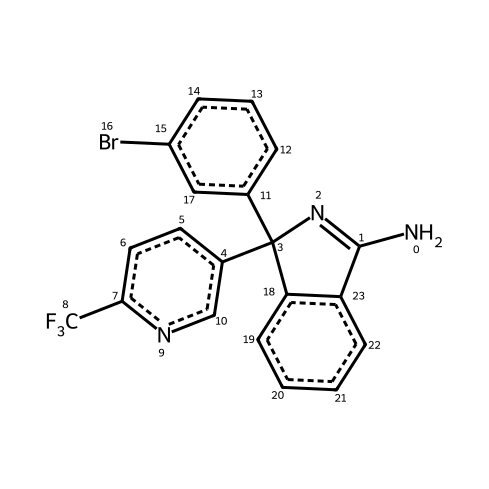 NC1=NC(c2ccc(C(F)(F)F)nc2)(c2cccc(Br)c2)c2ccccc21